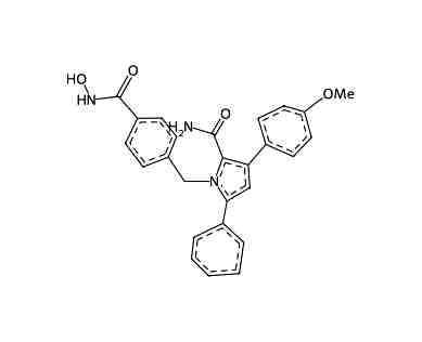 COc1ccc(-c2cc(-c3ccccc3)n(Cc3ccc(C(=O)NO)cc3)c2C(N)=O)cc1